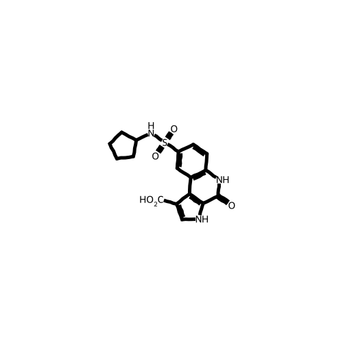 O=C(O)c1c[nH]c2c(=O)[nH]c3ccc(S(=O)(=O)NC4CCCC4)cc3c12